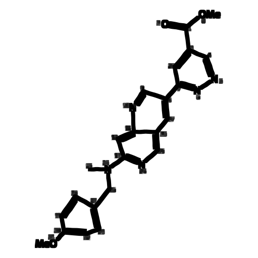 COC(=O)c1cnnc(-c2cnc3cc(N(C)Cc4ccc(OC)cc4)ncc3c2)c1